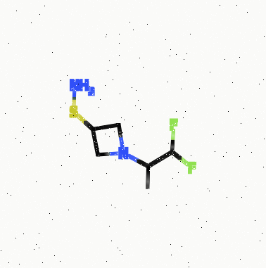 CC(C(F)F)N1CC(SN)C1